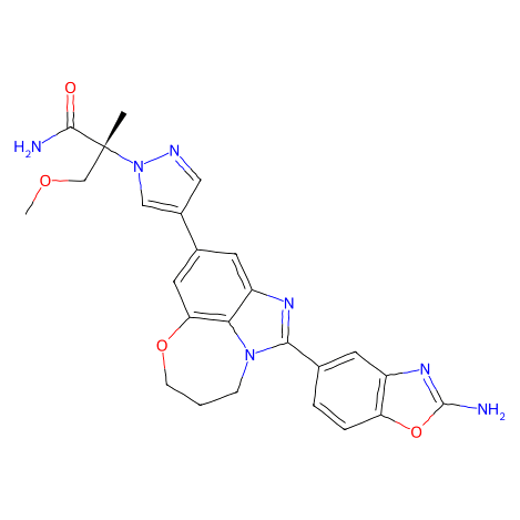 COC[C@](C)(C(N)=O)n1cc(-c2cc3c4c(c2)nc(-c2ccc5oc(N)nc5c2)n4CCCO3)cn1